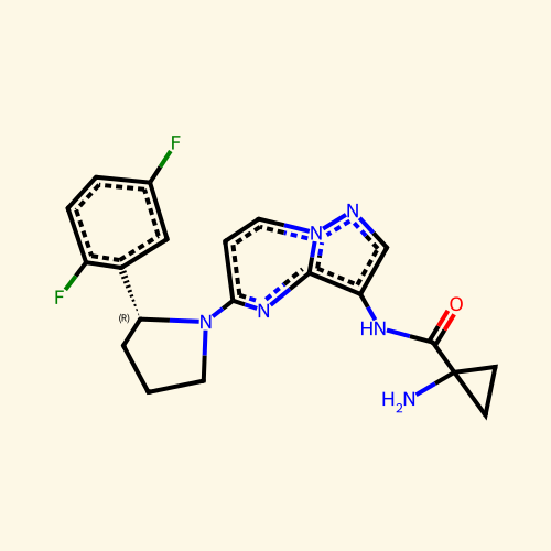 NC1(C(=O)Nc2cnn3ccc(N4CCC[C@@H]4c4cc(F)ccc4F)nc23)CC1